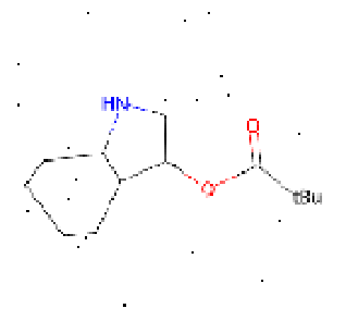 CC(C)(C)C(=O)OC1CNC2CCCCC21